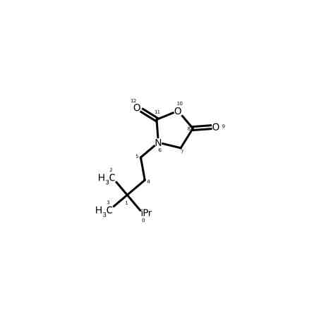 CC(C)C(C)(C)CCN1CC(=O)OC1=O